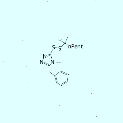 CCCCCC(C)(C)SSc1nnc(Cc2ccccc2)n1C